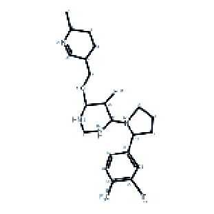 CC1CCC(COC2NCNC(N3CCCC3c3ccc(C(F)(F)F)c(F)c3)C2F)C=N1